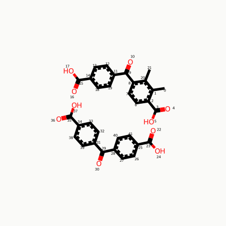 Cc1c(C(=O)O)ccc(C(=O)c2ccc(C(=O)O)cc2)c1C.O=C(O)c1ccc(C(=O)c2ccc(C(=O)O)cc2)cc1